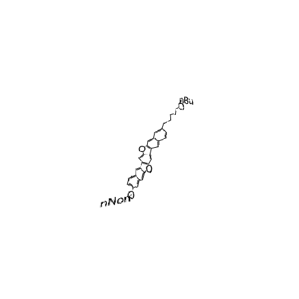 CCCCCCCCCOc1ccc2cc3c(cc2c1)oc1cc2c(cc13)oc1cc3cc(CCCCCOCCCC)ccc3cc12